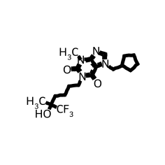 Cn1c(=O)n(CCCCC(C)(O)C(F)(F)F)c(=O)c2c1ncn2CC1CCCC1